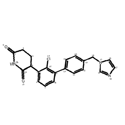 O=C1CCC(c2cccc(-c3ccc(Cn4ccnc4)cc3)c2Cl)C(=O)N1